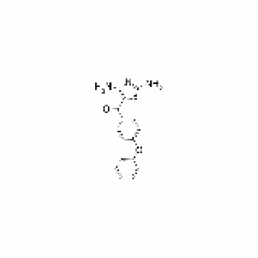 Nc1nc(N)c(C(=O)c2ccc(Oc3ccccc3)cc2)s1